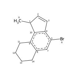 CC1C=Cc2c(Br)cc3c(c21)CCCC3